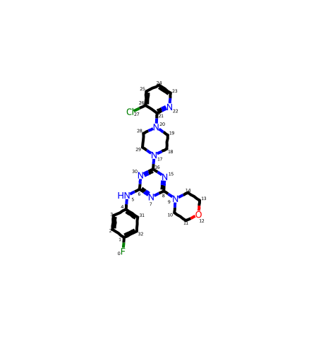 Fc1ccc(Nc2nc(N3CCOCC3)nc(N3CCN(c4ncccc4Cl)CC3)n2)cc1